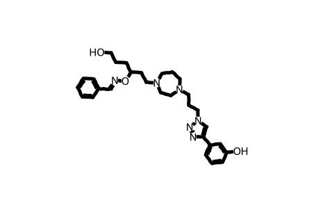 OCCCC(CCN1CCCN(CCCn2cc(-c3cccc(O)c3)nn2)CC1)O/N=C/c1ccccc1